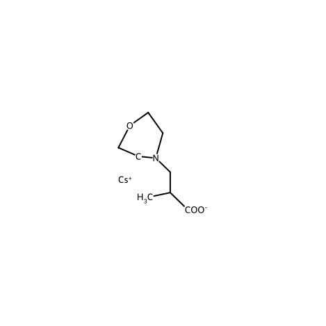 CC(CN1CCOCC1)C(=O)[O-].[Cs+]